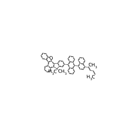 C/C=C\C=C(/C)c1ccc(-c2c3ccccc3c(-c3ccc4c(c3)C(C)(C)c3c-4c4oc5ccccc5c4c4ccccc34)c3ccccc23)c2ccccc12